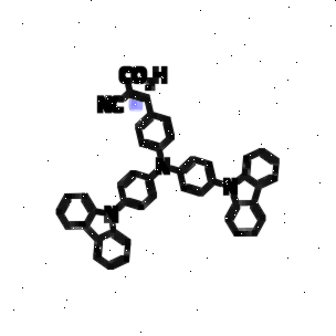 N#C/C(=C\c1ccc(N(c2ccc(-n3c4ccccc4c4ccccc43)cc2)c2ccc(-n3c4ccccc4c4ccccc43)cc2)cc1)C(=O)O